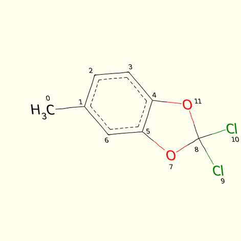 Cc1ccc2c(c1)OC(Cl)(Cl)O2